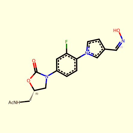 CC(=O)NC[C@H]1CN(c2ccc(-n3ccc(/C=N\O)c3)c(F)c2)C(=O)O1